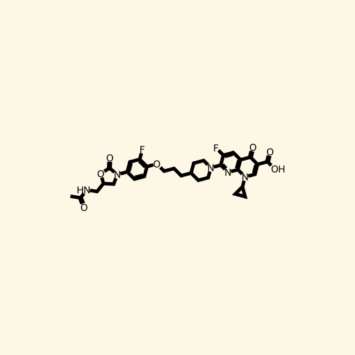 CC(=O)NCC1CN(c2ccc(OCCCC3CCN(c4nc5c(cc4F)c(=O)c(C(=O)O)cn5C4CC4)CC3)c(F)c2)C(=O)O1